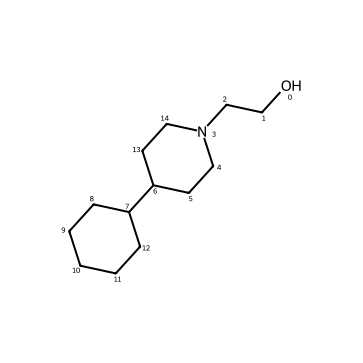 OCCN1CCC(C2CCCCC2)CC1